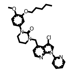 CCCCCOc1cc(N2CCCN(Cc3ccnc4c3c(Cl)cn4-c3ccccn3)C2=O)ccc1OC